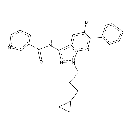 O=C(Nc1nn(CCCC2CC2)c2nc(-c3cc[c]cc3)c(Br)cc12)c1cccnc1